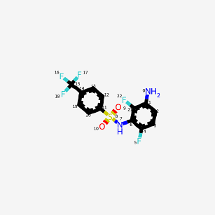 Nc1ccc(F)c(NS(=O)(=O)c2ccc(C(F)(F)F)cc2)c1F